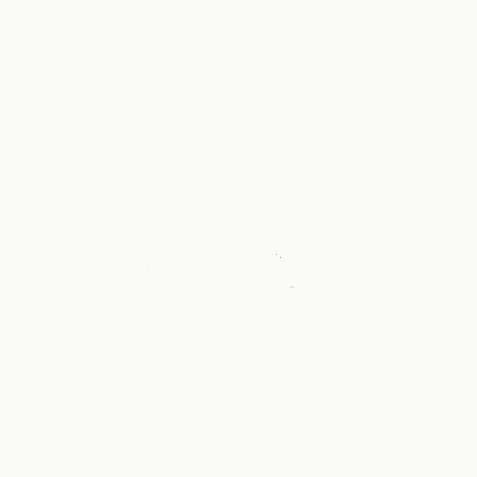 CCS(C#CC[C@@H](C)NCC(F)(F)COS(=O)(=O)O)(CC)CC